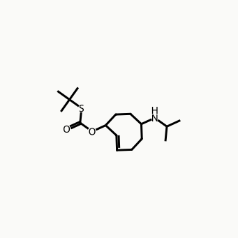 CC(C)NC1CC/C=C/C(OC(=O)SC(C)(C)C)CC1